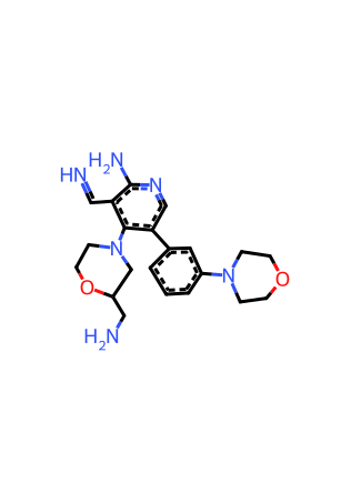 N=Cc1c(N)ncc(-c2cccc(N3CCOCC3)c2)c1N1CCOC(CN)C1